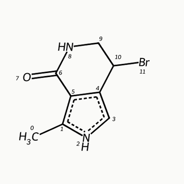 Cc1[nH]cc2c1C(=O)NCC2Br